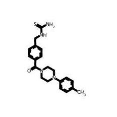 Cc1ccc(N2CCN(C(=O)c3ccc(CNC(N)=S)cc3)CC2)cc1